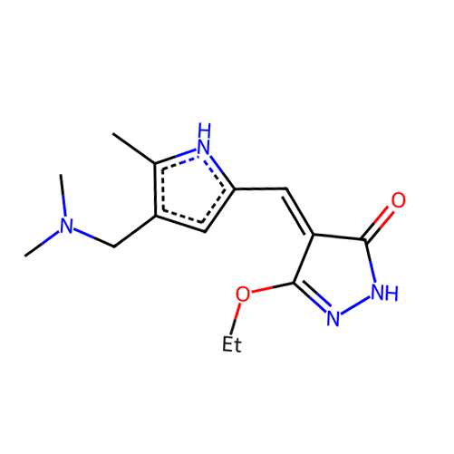 CCOC1=NNC(=O)/C1=C/c1cc(CN(C)C)c(C)[nH]1